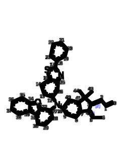 C=C/C=C1\C(=C/C)c2ccc(N(c3ccc4sc(-c5ccccc5)nc4c3)c3cccc4c3oc3ccccc34)cc2C1(C)C